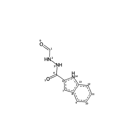 O=CNNC(=O)c1cc2ccccc2[nH]1